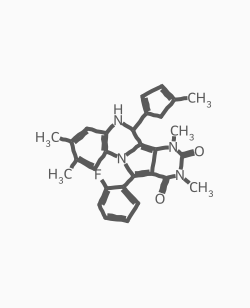 CC1=CC=C(C2Nc3cc(C)c(C)cc3-n3c(-c4ccccc4F)c4c(=O)n(C)c(=O)n(C)c4c32)C1